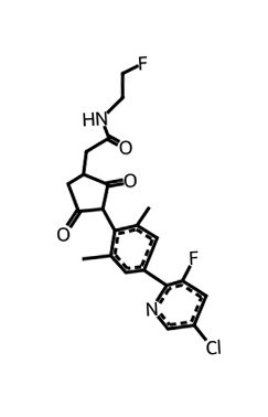 Cc1cc(-c2ncc(Cl)cc2F)cc(C)c1C1C(=O)CC(CC(=O)NCCF)C1=O